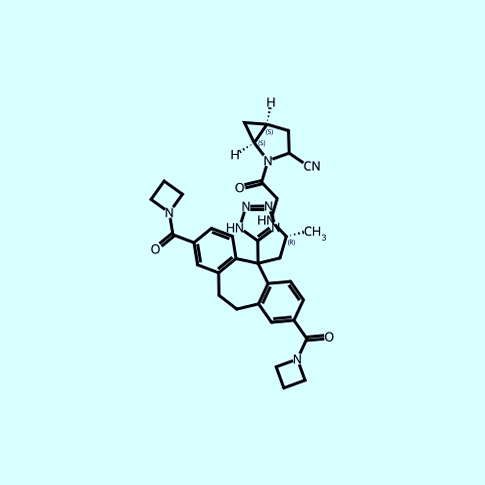 C[C@H](CC1(c2nnn[nH]2)c2ccc(C(=O)N3CCC3)cc2CCc2cc(C(=O)N3CCC3)ccc21)NCC(=O)N1C(C#N)C[C@@H]2C[C@@H]21